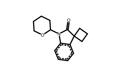 O=C1N(C2CCCCO2)c2ccccc2C12CCC2